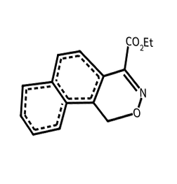 CCOC(=O)C1=NOCc2c1ccc1ccccc21